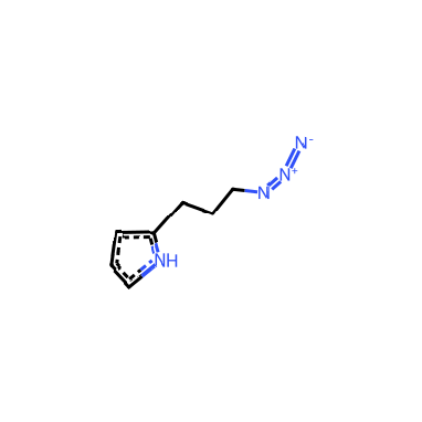 [N-]=[N+]=NCCCc1ccc[nH]1